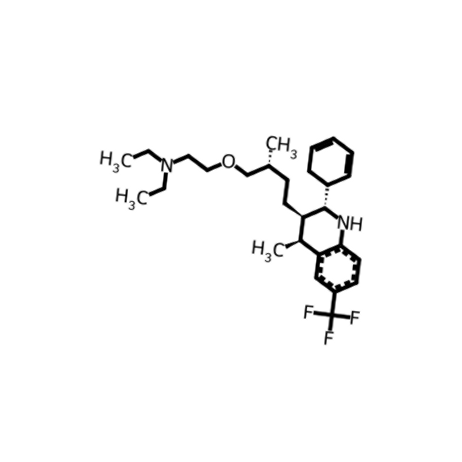 CCN(CC)CCOC[C@H](C)CC[C@@H]1[C@H](C)c2cc(C(F)(F)F)ccc2N[C@H]1C1C=CC=CC1